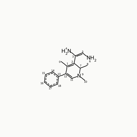 CC1=C(/C(N)=C\N)C(C)N(C)C=C1c1ccccc1